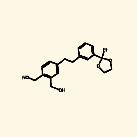 CCC1(c2cccc(CCc3ccc(CO)c(CO)c3)c2)OCCO1